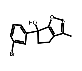 Cc1noc2c1CCC2(O)c1cccc(Br)c1